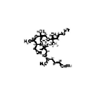 CC(C)OCCC(C)(C)OCC(C)(C)OC(C)C(CO)OC(C)(C)CON(C)CCCOC(C)(C)C